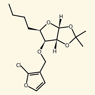 CCCC[C@H]1O[C@@H]2OC(C)(C)O[C@@H]2[C@H]1OCc1ccoc1Cl